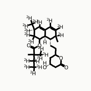 [2H]C1=C([2H])[C@]([2H])(C)[C@H](CCC2C[C@@H](O)CC(=O)O2)[C@@H]2C1=C([2H])[C@]([2H])(C([2H])([2H])[2H])C([2H])([2H])C2OC(=O)C(C)(C([2H])([2H])[2H])C([2H])([2H])C([2H])([2H])[2H]